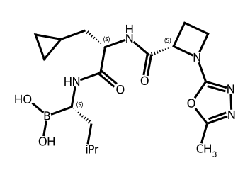 Cc1nnc(N2CC[C@H]2C(=O)N[C@@H](CC2CC2)C(=O)N[C@H](CC(C)C)B(O)O)o1